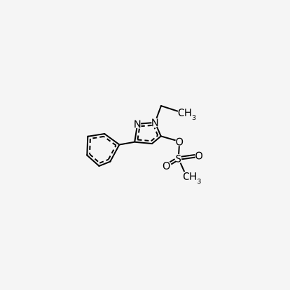 CCn1nc(-c2ccccc2)cc1OS(C)(=O)=O